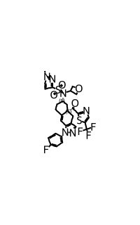 Cn1ccc(S(=O)(=O)N(C2COC2)[C@H]2CCC3=Cc4c(cnn4-c4ccc(F)cc4)C[C@]3(C(=O)c3ncc(C(F)(F)F)s3)C2)n1